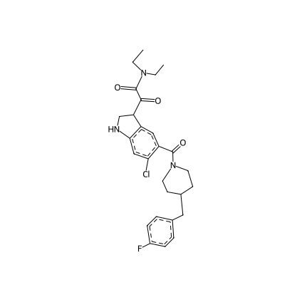 CCN(CC)C(=O)C(=O)C1CNc2cc(Cl)c(C(=O)N3CCC(Cc4ccc(F)cc4)CC3)cc21